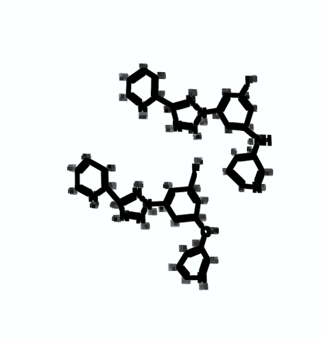 Fc1cc(Nc2cccnc2)cc(-n2nnc(-c3ccccn3)n2)c1.Fc1cc(Oc2cccnc2)cc(-n2nnc(-c3ccccn3)n2)c1